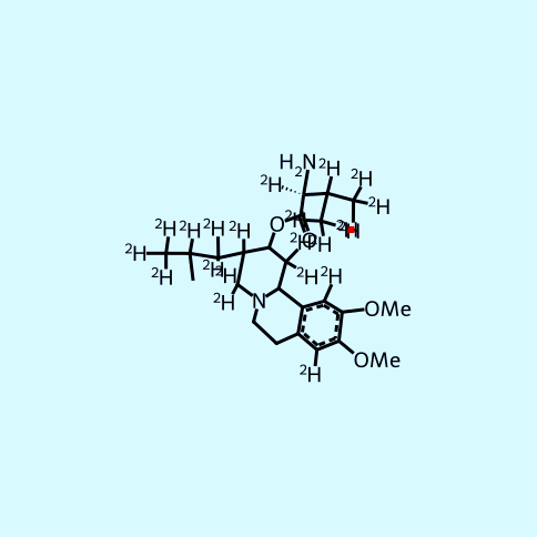 [2H]c1c2c(c([2H])c(OC)c1OC)C1N(CC2)C([2H])([2H])C([2H])(C([2H])([2H])C([2H])(C)C([2H])([2H])[2H])C(OC(=O)[C@@]([2H])(N)C([2H])(C([2H])([2H])[2H])C([2H])([2H])[2H])C1([2H])[2H]